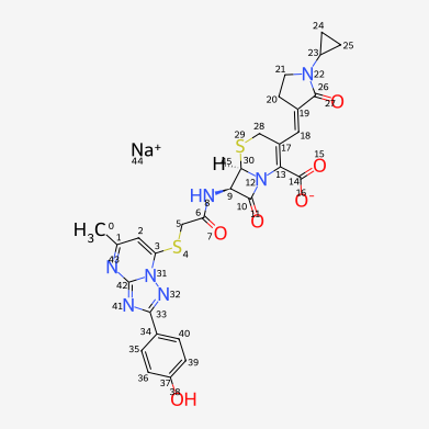 Cc1cc(SCC(=O)N[C@@H]2C(=O)N3C(C(=O)[O-])=C(/C=C4\CCN(C5CC5)C4=O)CS[C@H]23)n2nc(-c3ccc(O)cc3)nc2n1.[Na+]